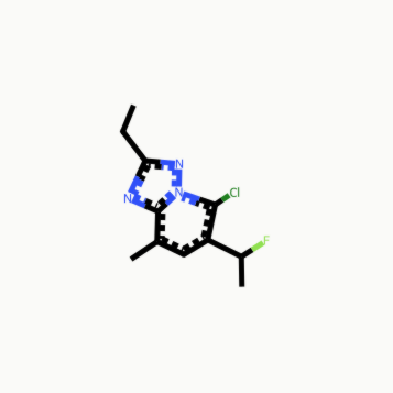 CCc1nc2c(C)cc(C(C)F)c(Cl)n2n1